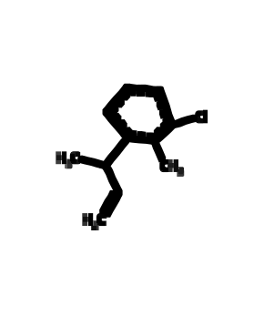 C=C[C](C)c1cccc(Cl)c1C